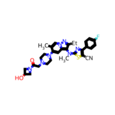 CCc1nn2cc(C)c(N3CCN(CC(=O)N4CC(O)C4)CC3)cc2c1N(C)c1nc(-c2ccc(F)cc2)c(C#N)s1